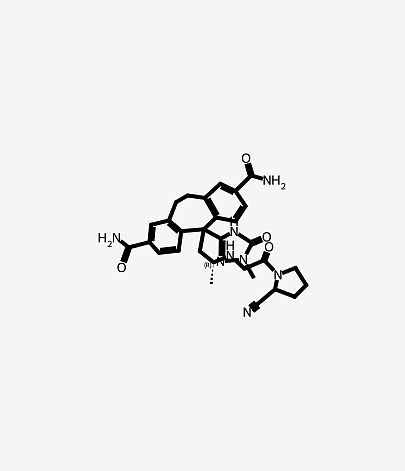 C[C@H](CC1(c2nn(C)c(=O)[nH]2)c2ccc(C(N)=O)cc2CCc2cc(C(N)=O)ccc21)NCC(=O)N1CCCC1C#N